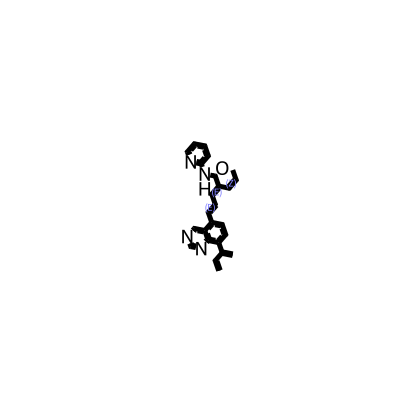 C=CC(=C)c1ccc(/C=C/C=C(\C=C/C)C(=O)Nc2ccccn2)c2cncnc12